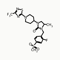 CC1CN(C2CCN(c3nc(C(F)(F)F)ns3)CC2)C(=O)N1Cc1ccc(S(C)(=O)=O)cc1F